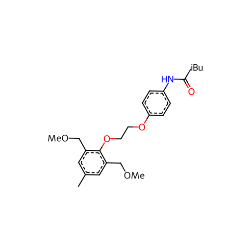 CCC(C)C(=O)Nc1ccc(OCCOc2c(COC)cc(C)cc2COC)cc1